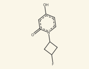 O=c1cc(O)ccn1C1CC(F)C1